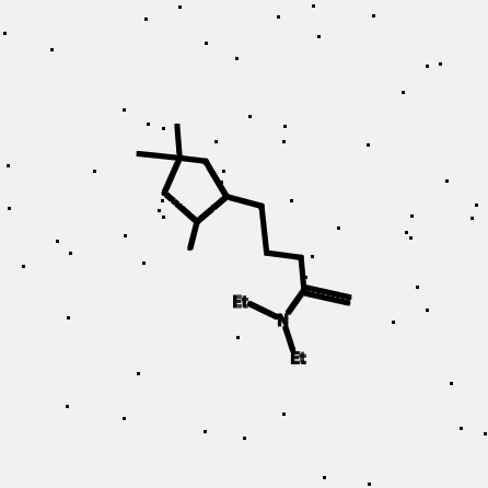 C=C(CCCC1CC(C)(C)CC1C)N(CC)CC